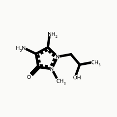 CC(O)Cn1c(N)c(N)c(=O)n1C